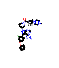 CN1CCN(C(C)(C)/C=C(\C#N)C(=O)N2CCC[C@@H](n3nc(-c4ccc(Oc5ccccc5)cc4F)c4c(N)ncnc43)C2)CC1